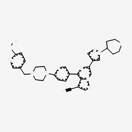 COc1ccc(CN2CCN(c3ccc(-c4nc(-c5cnn(C6CCOCC6)c5)cn5ncc(C#N)c45)cn3)CC2)cn1